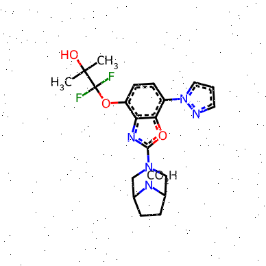 CC(C)(O)C(F)(F)Oc1ccc(-n2cccn2)c2oc(N3CC4CCC(C3)N4C(=O)O)nc12